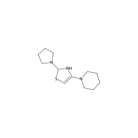 C1=C(N2CCCCC2)NC(N2CCCC2)S1